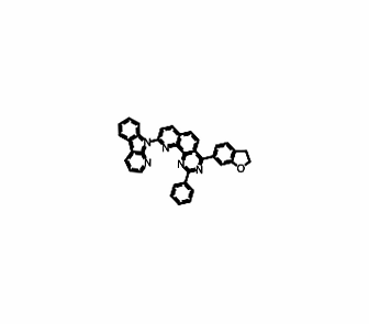 c1ccc(-c2nc(-c3ccc4c(c3)OCC4)c3ccc4ccc(-n5c6ccccc6c6cccnc65)nc4c3n2)cc1